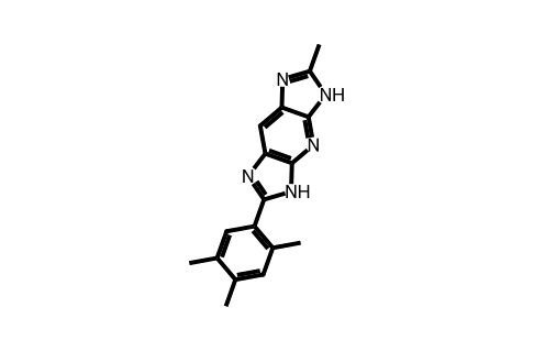 Cc1nc2cc3nc(-c4cc(C)c(C)cc4C)[nH]c3nc2[nH]1